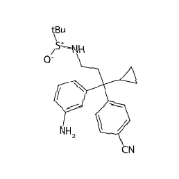 CC(C)(C)[S+]([O-])NCCC(c1ccc(C#N)cc1)(c1cccc(N)c1)C1CC1